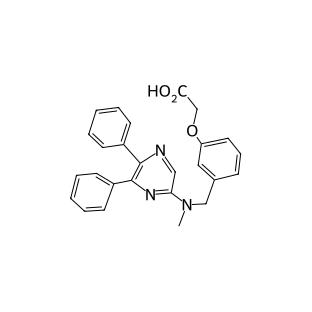 CN(Cc1cccc(OCC(=O)O)c1)c1cnc(-c2ccccc2)c(-c2ccccc2)n1